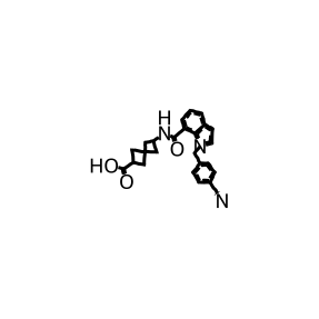 N#Cc1ccc(Cn2ccc3cccc(C(=O)NC4CC5(C4)CC(C(=O)O)C5)c32)cc1